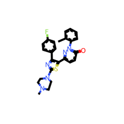 Cc1ccccc1-n1nc(-c2sc(N3CCN(C)CC3)nc2-c2ccc(F)cc2)ccc1=O